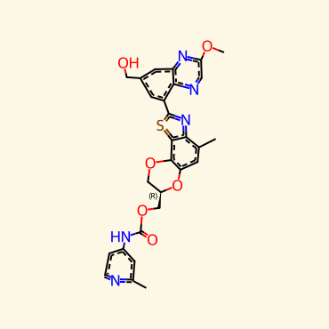 COc1cnc2c(-c3nc4c(C)cc5c(c4s3)OC[C@H](COC(=O)Nc3ccnc(C)c3)O5)cc(CO)cc2n1